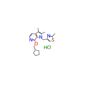 Cc1nc(Cn2c(C)c(C)c3ccnc(OCC4CCCC4)c32)cs1.Cl